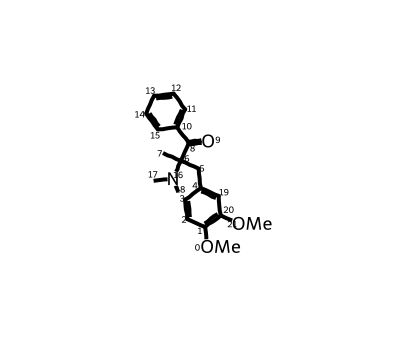 COc1ccc(CC(C)(C(=O)c2ccccc2)N(C)C)cc1OC